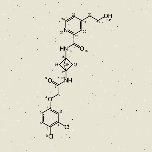 O=C(COc1ccc(Cl)c(Cl)c1)NC12CC(NC(=O)c3cc(CCO)ccn3)(C1)C2